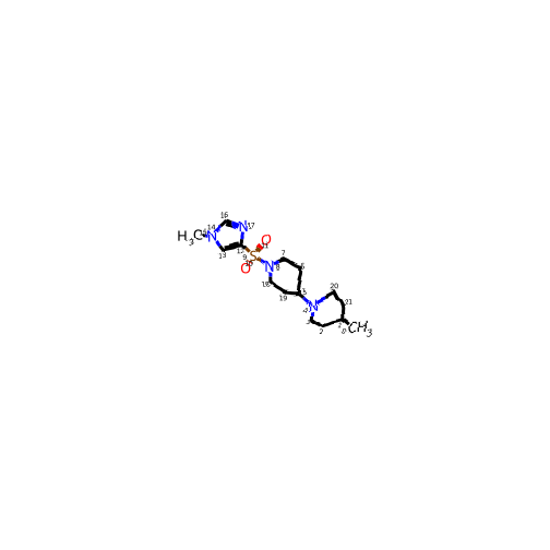 CC1CCN(C2CCN(S(=O)(=O)c3cn(C)cn3)CC2)CC1